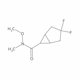 CON(C)C(=O)C1C2CC(F)(F)CC21